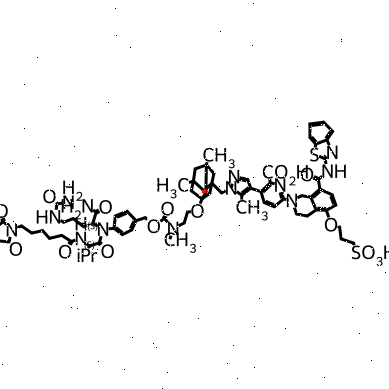 Cc1c(-c2ccc(N3CCc4c(OCCCS(=O)(=O)O)ccc(C(=O)Nc5nc6ccccc6s5)c4C3)nc2C(=O)O)cnn1CC12CC3(C)CC(C)(C1)CC(OCCN(C)C(=O)OCc1ccc(N(C(=O)[C@@H](NC(=O)CCCCCN4C(=O)C=CC4=O)C(C)C)[C@@H](CCCNC(N)=O)C(N)=O)cc1)(C3)C2